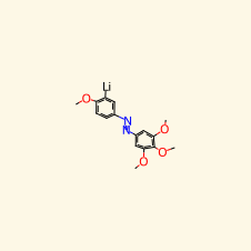 [Li][c]1cc(N=Nc2cc(OC)c(OC)c(OC)c2)ccc1OC